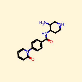 NC1CNCCC1NC(=O)c1ccc(-n2ccccc2=O)cc1